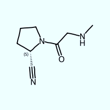 CNCC(=O)N1CCC[C@H]1C#N